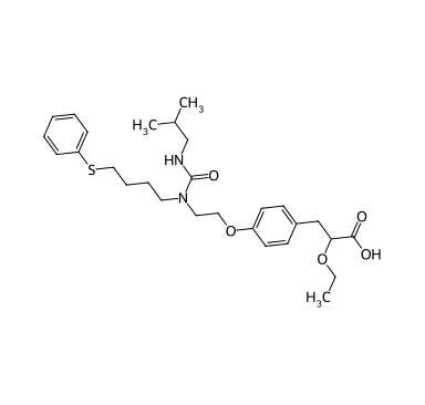 CCOC(Cc1ccc(OCCN(CCCCSc2ccccc2)C(=O)NCC(C)C)cc1)C(=O)O